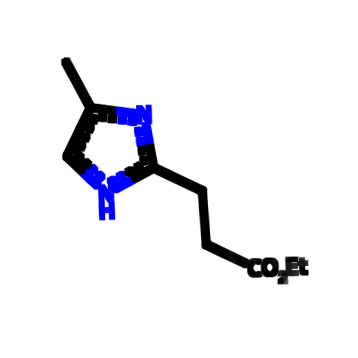 CCOC(=O)CCc1nc(C)c[nH]1